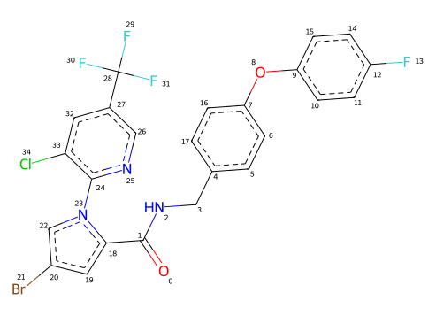 O=C(NCc1ccc(Oc2ccc(F)cc2)cc1)c1cc(Br)cn1-c1ncc(C(F)(F)F)cc1Cl